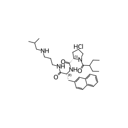 CCC(CC)C(=O)N1CCC[C@H]1C(=O)N[C@H](Cc1ccc2ccccc2c1)C(=O)NCCCNCC(C)C.Cl